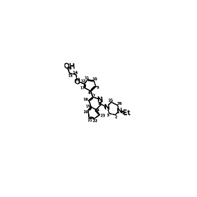 CCN1CCN(c2nc(-c3cccc(OCCO)c3)cc3ccccc23)CC1